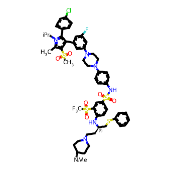 CNC1CCN(CC[C@H](CSc2ccccc2)Nc2ccc(S(=O)(=O)Nc3ccc(N4CCN(c5cc(F)cc(-c6c(S(C)(=O)=O)c(C)n(C(C)C)c6-c6ccc(Cl)cc6)c5)CC4)cc3)cc2S(=O)(=O)C(F)(F)F)CC1